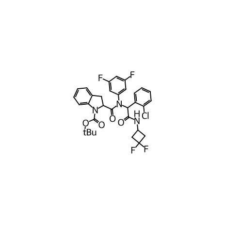 CC(C)(C)OC(=O)N1c2ccccc2CC1C(=O)N(c1cc(F)cc(F)c1)C(C(=O)NC1CC(F)(F)C1)c1ccccc1Cl